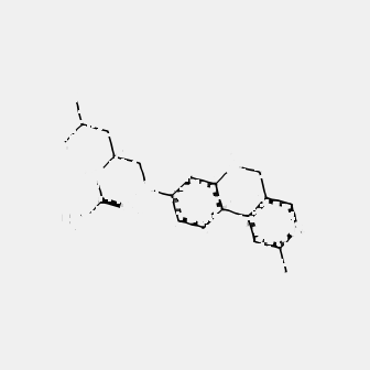 Cc1cc2c(cn1)COc1cc(OCC(CC(C)C)OC(N)=O)ccc1-2